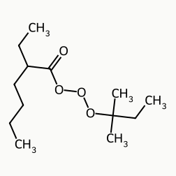 CCCCC(CC)C(=O)OOOC(C)(C)CC